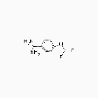 NC(N)c1ccc(OC(F)F)cc1